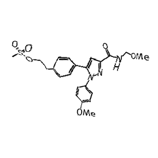 COCNC(=O)c1cc(-c2ccc(CCOS(C)(=O)=O)cc2)n(-c2ccc(OC)cc2)n1